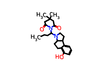 CCCC(N1C(=O)CC(C)(C)CC1=O)N1CCC2c3cccc(O)c3CCC21